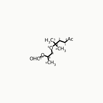 CC(=O)CCC(C)(C)OCC(C)OC=O